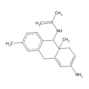 C=C(C)NC1c2ccc(C)cc2CC2=CC(N)=CCC21C